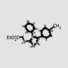 CCOC(=O)CSc1nnc(-c2ccc(C)cc2)n1-c1ccccc1